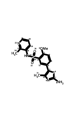 COc1ccc(-c2sc(N)nc2C)cc1S(=O)(=O)Nc1cccnc1C